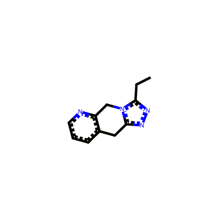 CCc1nnc2n1Cc1ncccc1C2